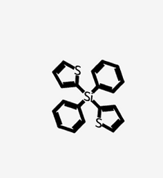 c1ccc([Si](c2ccccc2)(c2cccs2)c2cccs2)cc1